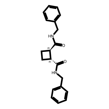 O=C(NCc1ccccc1)[C@@H]1CC[C@H]1C(=O)NCc1ccccc1